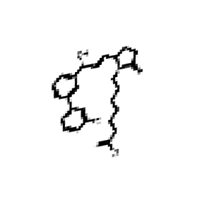 O=C(O)CCCCCCN1C(=O)CCC1/C=C/[C@@H](O)c1cccc(-c2cccc(Cl)c2)c1